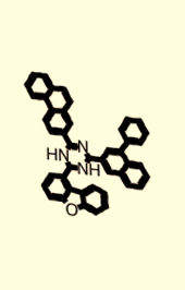 c1ccc(-c2cc(C3N=C(c4ccc5c(ccc6ccccc65)c4)NC(c4cccc5oc6ccccc6c45)N3)cc3ccccc23)cc1